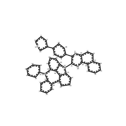 c1ccc(-c2ccc(-c3nc4ccc5ccccc5c4nc3-n3c4cccc5c6ccccc6n(-c6ccccc6)c6cccc3c6c54)cc2)cc1